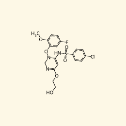 COc1ccc(F)cc1ON1CN=C(OCCO)C=C1NS(=O)(=O)c1ccc(Cl)cc1